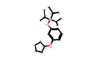 CC(C)[Si](Oc1cccc(OC2CCCC2)c1)(C(C)C)C(C)C